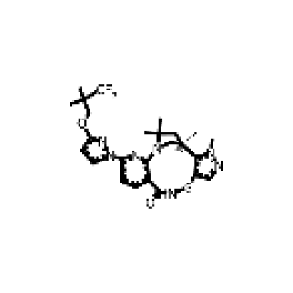 Cn1ncc2c1[C@@]1(C)CN(c3nc(-n4ccc(OCC(C)(C)C(F)(F)F)n4)ccc3C(=O)NS2)C(C)(C)C1